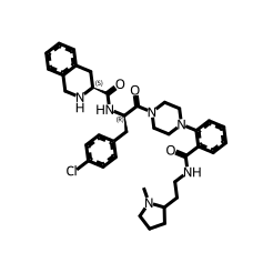 CN1CCCC1CCNC(=O)c1ccccc1N1CCN(C(=O)[C@@H](Cc2ccc(Cl)cc2)NC(=O)[C@@H]2Cc3ccccc3CN2)CC1